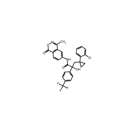 Cc1noc(=O)c2ccc(NC(=O)C(O)(CC3(c4ccccc4Cl)CC3)c3ccc(C(F)(F)F)cc3)cc12